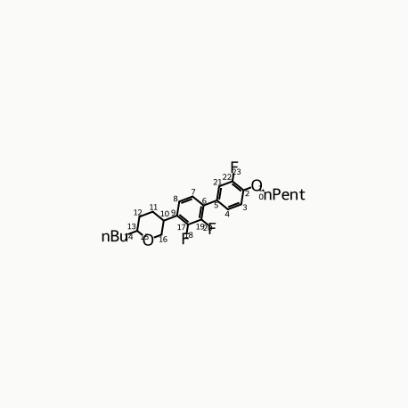 CCCCCOc1ccc(-c2ccc(C3CCC(CCCC)OC3)c(F)c2F)cc1F